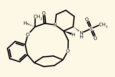 C[C@@H]1Oc2ccccc2C2CCC(CC2)OC[C@H]2[C@@H](NS(C)(=O)=O)CCCN2C1=O